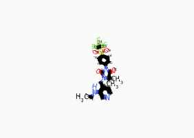 CCNc1cnccc1CN1C(=O)N(c2ccc(S(=O)(=O)C(F)(F)F)cc2)C(=O)C1(C)C